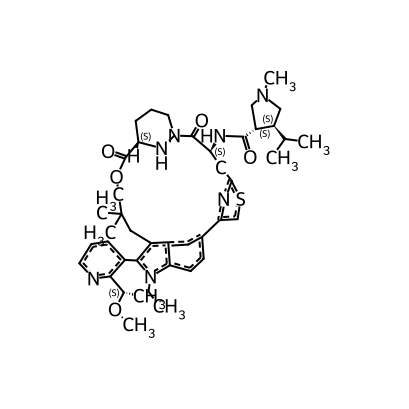 CCn1c(-c2cccnc2[C@H](C)OC)c2c3cc(ccc31)-c1csc(n1)C[C@H](NC(=O)[C@@H]1CN(C)C[C@H]1C(C)C)C(=O)N1CCC[C@H](N1)C(=O)OCC(C)(C)C2